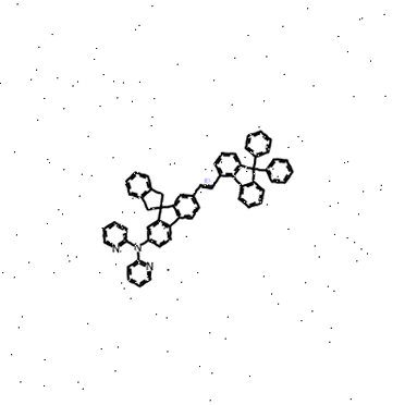 C(=C\c1cccc2c1-c1ccccc1C2(c1ccccc1)c1ccccc1)/c1ccc2c(c1)C1(Cc3ccccc3C1)c1cc(N(c3ccccn3)c3ccccn3)ccc1-2